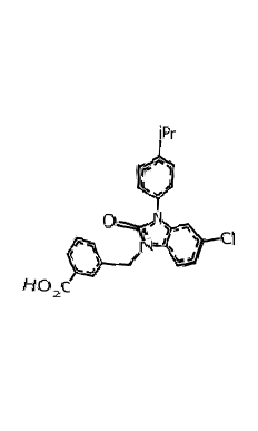 CC(C)c1ccc(-n2c(=O)n(Cc3cccc(C(=O)O)c3)c3ccc(Cl)cc32)cc1